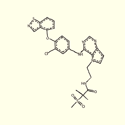 CC(C)(C(=O)NCCn1ccc2ncnc(Nc3ccc(Oc4cccc5sncc45)c(Cl)c3)c21)S(C)(=O)=O